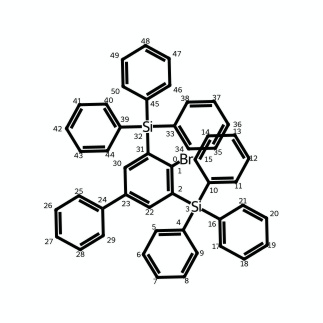 Brc1c([Si](c2ccccc2)(c2ccccc2)c2ccccc2)cc(-c2ccccc2)cc1[Si](c1ccccc1)(c1ccccc1)c1ccccc1